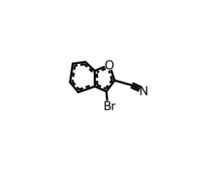 N#Cc1oc2ccccc2c1Br